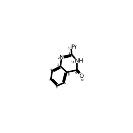 CC(C)c1nc2ccccc2c(=O)[nH]1